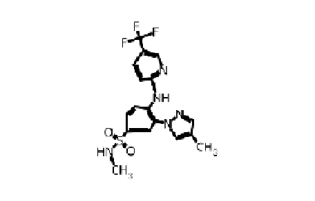 CNS(=O)(=O)c1ccc(Nc2ccc(C(F)(F)F)cn2)c(-n2cc(C)cn2)c1